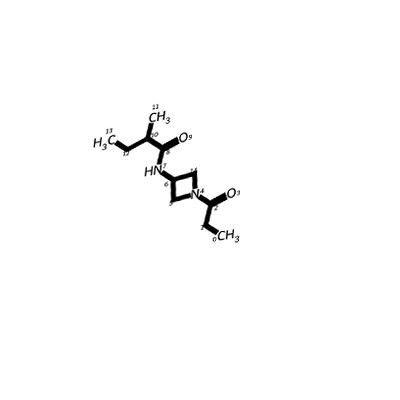 CCC(=O)N1CC(NC(=O)C(C)CC)C1